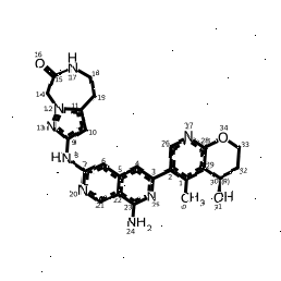 Cc1c(-c2cc3cc(Nc4cc5n(n4)CC(=O)NCC5)ncc3c(N)n2)cnc2c1[C@H](O)CCO2